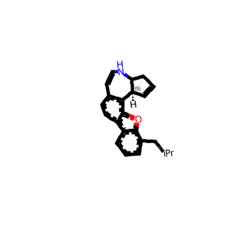 CC(C)Cc1cccc2c1oc1c3c(ccc12)C=CNC1CC=C[C@@H]31